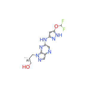 C[C@@H](CO)Cn1ncc2ncc(Nc3cc(OC(F)F)[nH]n3)nc21